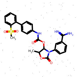 CC1OC(=O)N(c2cccc(C(=N)N)c2)C1OC(=O)Nc1ccc(-c2ccccc2S(C)(=O)=O)cc1